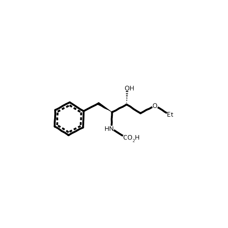 CCOC[C@@H](O)[C@H](Cc1ccccc1)NC(=O)O